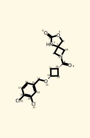 O=C1NC2(CO1)CN(C(=O)[C@H]1C[C@@H](OCc3ccc(Cl)c(Cl)c3)C1)C2